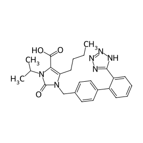 CCCCc1c(C(=O)O)n(C(C)C)c(=O)n1Cc1ccc(-c2ccccc2-c2nnn[nH]2)cc1